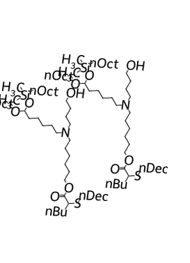 CCCCCCCCCCSC(CCCC)C(=O)OCCCCCCN(CCCCO)CCCCCC(OCCCCCCCC)O[Si](C)(C)CCCCCCCC.CCCCCCCCCCSC(CCCC)C(=O)OCCCCCCN(CCCCO)CCCCCC(OCCCCCCCC)O[Si](C)(C)CCCCCCCC